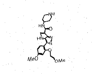 COCCOc1cc(OC)ccc1-c1ncnc2c(C(=O)NC3CCNCC3)c[nH]c12